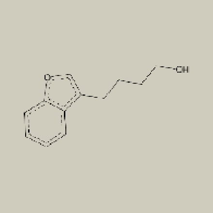 OCCCCc1coc2ccccc12